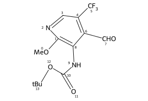 COc1ncc(C(F)(F)F)c(C=O)c1NC(=O)OC(C)(C)C